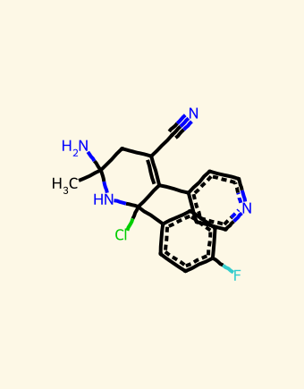 CC1(N)CC(C#N)=C(c2ccncc2)C(Cl)(c2ccc(F)cc2)N1